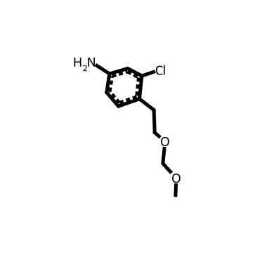 COCOCCc1ccc(N)cc1Cl